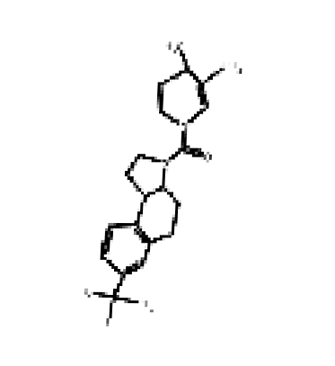 CC1=CN(C(=O)N2CCC3c4ccc(C(F)(C(F)(F)F)C(F)(F)F)cc4CCC32)CCC1C